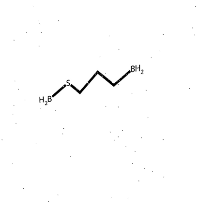 BCCCSB